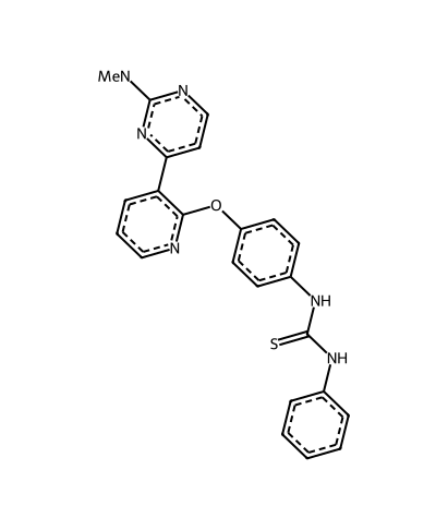 CNc1nccc(-c2cccnc2Oc2ccc(NC(=S)Nc3ccccc3)cc2)n1